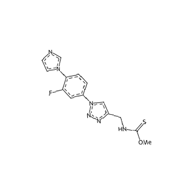 COC(=S)NCc1cn(-c2ccc(-n3ccnc3)c(F)c2)nn1